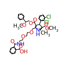 COC(=O)C1=C(C)NC(COCCOCCNC(=O)c2ccccc2C(=O)O)=C(C(=O)OCC(OC)c2ccccc2)C1c1cccc(Cl)c1Cl